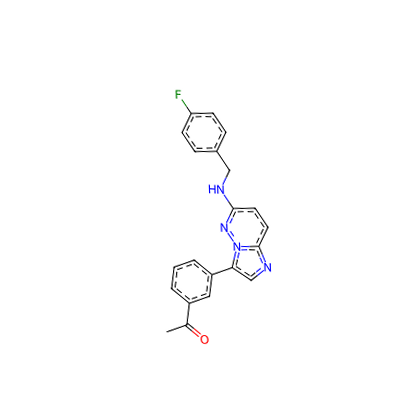 CC(=O)c1cccc(-c2cnc3ccc(NCc4ccc(F)cc4)nn23)c1